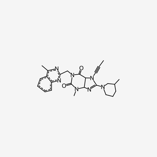 CC#CN1C(N2CCCC(C)C2)=NC2C1C(=O)N(Cc1nc(C)c3ccccc3n1)C(=O)N2C